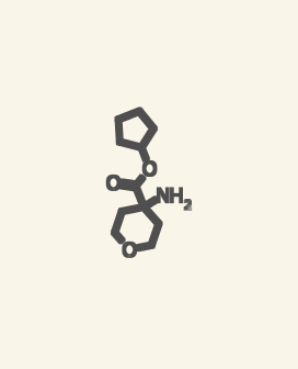 NC1(C(=O)OC2CCCC2)CCOCC1